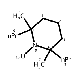 CCCC1(C)CCCC(C)(CCC)N1[O]